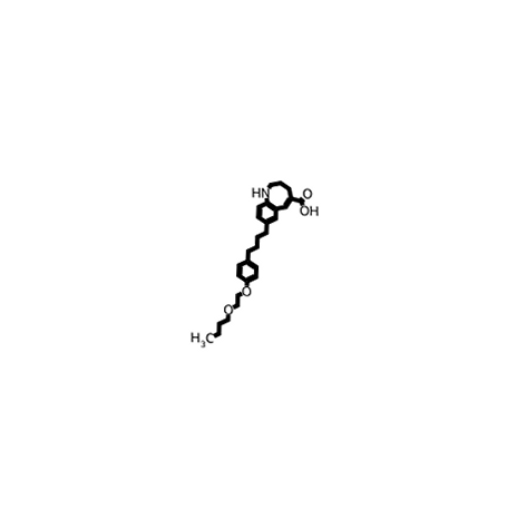 CCCCOCCOc1ccc(CCCCc2ccc3c(c2)C=C(C(=O)O)CCCN3)cc1